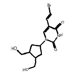 O=c1[nH]c(=O)n(C2CC(CO)C(CO)C2)cc1C=CBr